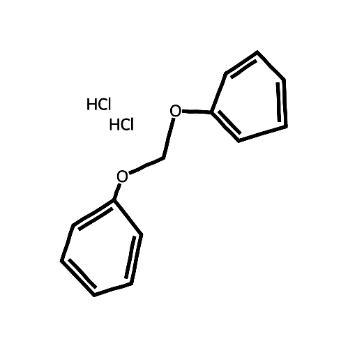 Cl.Cl.c1ccc(OCOc2ccccc2)cc1